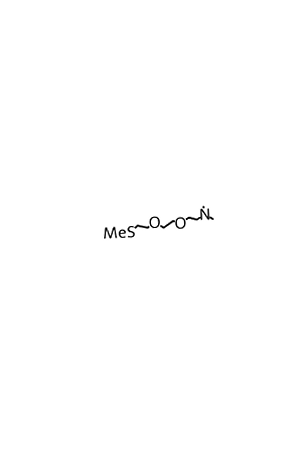 CSCCOCCOCCN(C)C